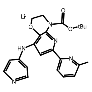 Cc1cccc(-c2cc(Nc3ccncc3)c3c(n2)N(C(=O)OC(C)(C)C)CCO3)n1.[Li]